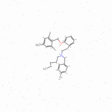 CC(=O)CCCCN(CCc1ccccc1OCc1c(C)cc(C(C)(C)C)cc1C)Cc1ccc(C(C)=O)cc1